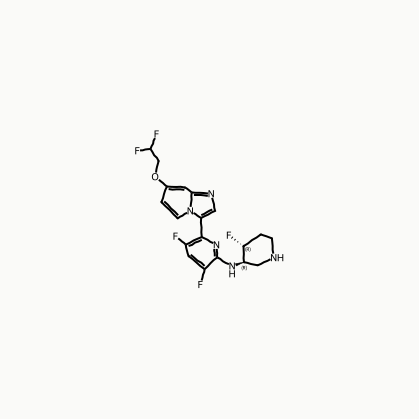 Fc1cc(F)c(-c2cnc3cc(OCC(F)F)ccn23)nc1N[C@@H]1CNCC[C@H]1F